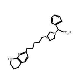 O=C(O)C(c1ccccc1)N1CC[C@@H](CCCCCc2ccc3c(n2)NCCC3)C1